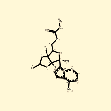 CCC1O[C@H]2[C@@H](O1)[C@](C#N)(c1ccc3c(N)ncnn13)O[C@@H]2COC(=O)OC(C)C